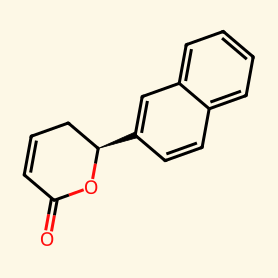 O=C1C=CC[C@@H](c2ccc3ccccc3c2)O1